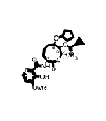 COc1ccnc(C(=O)N[C@H]2CCC[C@H](OC3CCCC3)[C@@H](OC(=O)C3CC3)[C@H](C)OC2=O)c1O